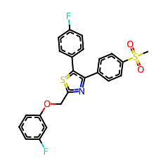 CS(=O)(=O)c1ccc(-c2nc(COc3cccc(F)c3)sc2-c2ccc(F)cc2)cc1